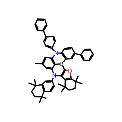 Cc1cc2c3c(c1)N(c1ccc4c(c1)C(C)(C)CCC4(C)C)c1c(oc4c1C(C)(C)CCC4(C)C)B3c1cc(-c3ccccc3)ccc1N2c1ccc(-c2ccccc2)cc1